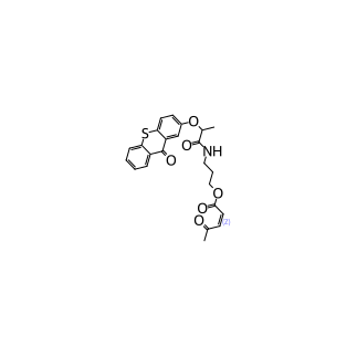 CC(=O)/C=C\C(=O)OCCCNC(=O)C(C)Oc1ccc2sc3ccccc3c(=O)c2c1